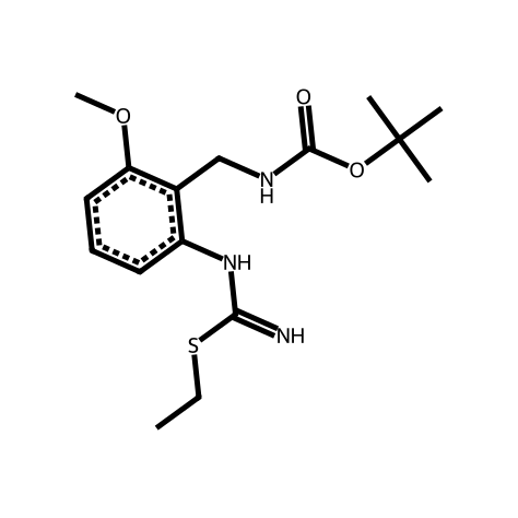 CCSC(=N)Nc1cccc(OC)c1CNC(=O)OC(C)(C)C